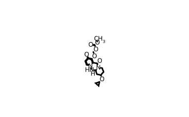 COC(=O)OCOc1c2n(ccc1=O)N[C@@H]1CC(OC3CC3)CCN1C2=O